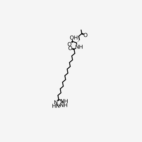 CC(=O)CC[C@H](NC(=O)CCCCCCCCCCCCCCC1=NNNN1)C(=O)O